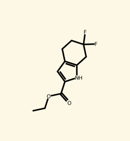 CCOC(=O)c1cc2c([nH]1)CC(F)(F)CC2